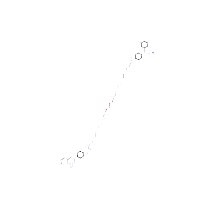 C=C(Cl)/C=C(/Cl)C1=CC(c2ccc(S(=O)(=O)NCCOCCOCCOCCNC(=O)C(O)C(O)C(=O)NCCOCCOCCOCCNS(=O)(=O)c3ccc(C4CN(C)Cc5c(Cl)cc(Cl)cc54)cc3)cc2)CN(C)C1